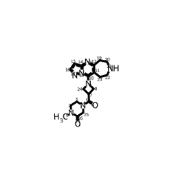 CN1CCN(C(=O)C2CN(c3c4c(nc5ccnn35)CCNCC4)C2)CC1=O